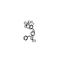 CCOCC1(CCc2ccccc2)CCN(Cc2ccc3c(c2)COC(=O)N3C)CC1